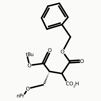 CCCOC[C@H](C(=O)OC(C)(C)C)C(C(=O)O)C(=O)OCc1ccccc1